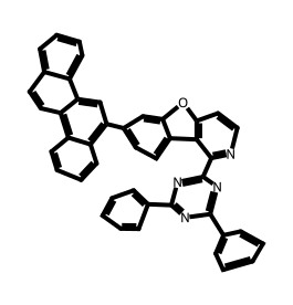 c1ccc(-c2nc(-c3ccccc3)nc(-c3nccc4oc5cc(-c6cc7c8ccccc8ccc7c7ccccc67)ccc5c34)n2)cc1